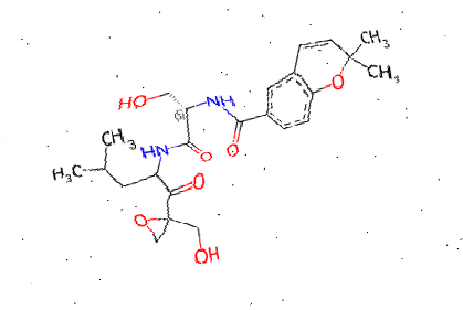 CC(C)CC(NC(=O)[C@H](CO)NC(=O)c1ccc2c(c1)C=CC(C)(C)O2)C(=O)C1(CO)CO1